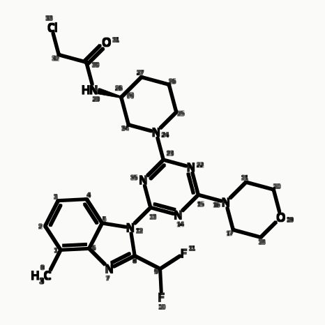 Cc1cccc2c1nc(C(F)F)n2-c1nc(N2CCOCC2)nc(N2CCC[C@H](NC(=O)CCl)C2)n1